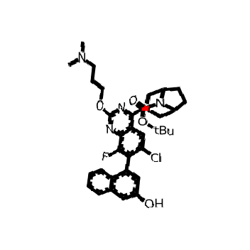 CN(C)CCCOc1nc(N2CC3CCC(C2)N3C(=O)OC(C)(C)C)c2cc(Cl)c(-c3cc(O)cc4ccccc34)c(F)c2n1